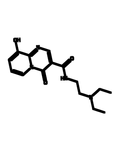 CCN(CC)CCNC(=O)c1cnc2c(O)cccn2c1=O